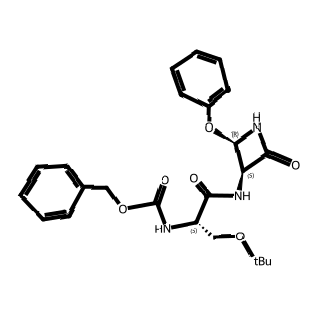 CC(C)(C)OC[C@H](NC(=O)OCc1ccccc1)C(=O)N[C@@H]1C(=O)N[C@@H]1Oc1ccccc1